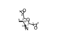 C(OCC1CO1)C1CO1.C=CC#N